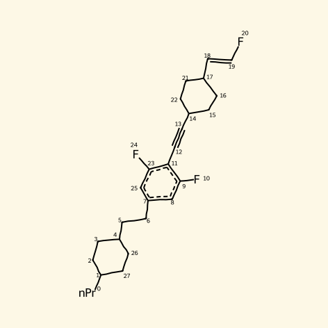 CCCC1CCC(CCc2cc(F)c(C#CC3CCC(/C=C/F)CC3)c(F)c2)CC1